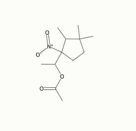 CC(=O)OC(C)C1([N+](=O)[O-])CCC(C)(C)C1C